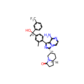 Cc1cc([C@](C)(O)c2cccc(C(F)(F)F)c2)ccc1-c1nc([C@@H]2CC[C@H]3CCC(=O)N3C2)n2ccnc(N)c12